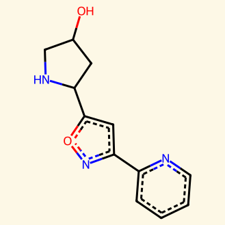 OC1CNC(c2cc(-c3ccccn3)no2)C1